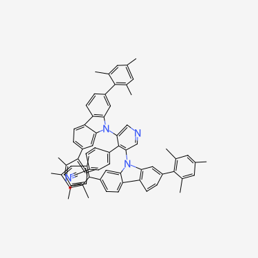 Cc1cc(C)c(-c2ccc3c4ccc(-c5c(C)cc(C)cc5C)cc4n(-c4cncc(-n5c6cc(-c7c(C)cc(C)cc7C)ccc6c6ccc(-c7c(C)cc(C)cc7C)cc65)c4-c4ccc(C#N)cc4)c3c2)c(C)c1